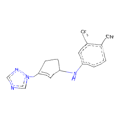 N#Cc1ccc(NC2C=C(n3cncn3)CC2)cc1C(F)(F)F